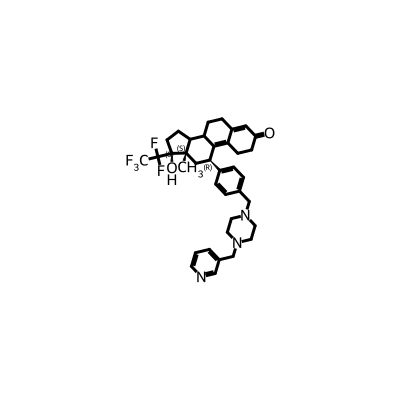 C[C@]12C[C@H](c3ccc(CN4CCN(Cc5cccnc5)CC4)cc3)C3=C4CCC(=O)C=C4CCC3C1CC[C@@]2(O)C(F)(F)C(F)(F)F